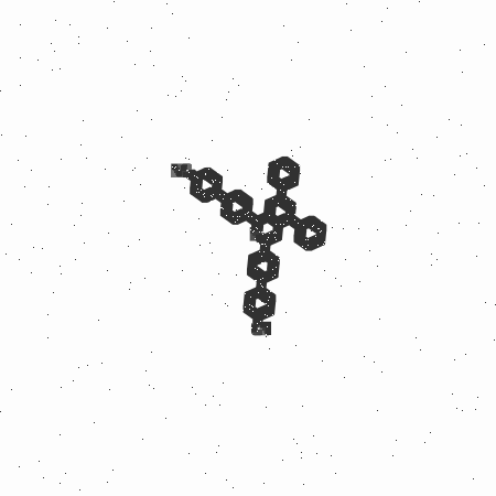 N#Cc1ccc(-c2ccc(-c3cc4c(-c5ccccc5)cc(-c5ccccc5)cc4c(-c4ccc(-c5ccc(C#N)cc5)cc4)n3)cc2)cc1